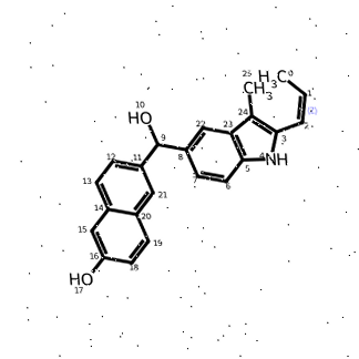 C/C=C\c1[nH]c2ccc(C(O)c3ccc4cc(O)ccc4c3)cc2c1C